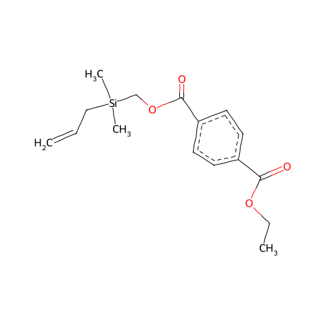 C=CC[Si](C)(C)COC(=O)c1ccc(C(=O)OCC)cc1